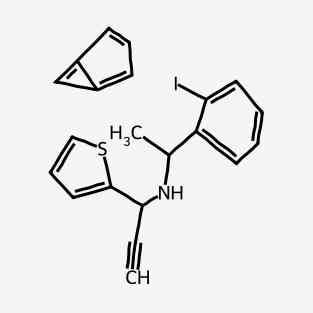 C#CC(NC(C)c1ccccc1I)c1cccs1.c1cc2cc-2c1